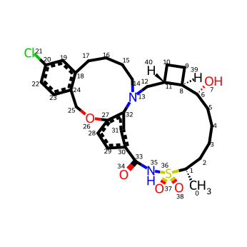 C[C@H]1CCCC[C@@H](O)[C@@H]2CC[C@H]2CN2CCCCc3cc(Cl)ccc3COc3ccc(cc32)C(=O)NS1(=O)=O